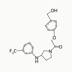 O=C(COc1ccc(CO)cc1)N1CCC(Nc2cccc(C(F)(F)F)c2)C1